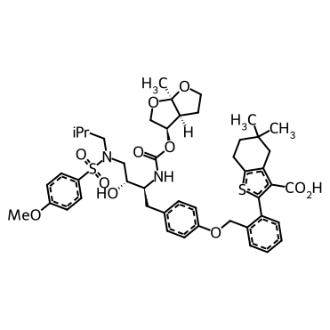 COc1ccc(S(=O)(=O)N(CC(C)C)C[C@@H](O)[C@H](Cc2ccc(OCc3ccccc3-c3sc4c(c3C(=O)O)CC(C)(C)CC4)cc2)NC(=O)O[C@H]2CO[C@@]3(C)OCC[C@@H]23)cc1